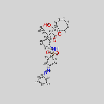 O=C1OC2=CC=CCCCC2C(O)C1C(c1cccc(NS(=O)(=O)c2ccc(N=Nc3ccccc3)cc2)c1)C1CC1